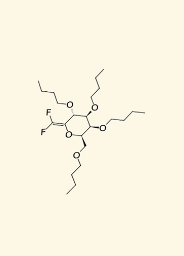 CCCCOC[C@H]1OC(=C(F)F)[C@H](OCCCC)[C@@H](OCCCC)[C@H]1OCCCC